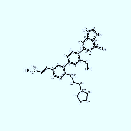 CCOc1cc(-c2cc(/C=C/C(=O)O)ccc2OCCN2CCCC2)ccc1-c1nc2[nH]cnc2c(=O)[nH]1